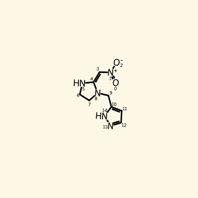 O=[N+]([O-])C=C1NCCN1Cc1ccn[nH]1